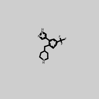 FC(F)(F)c1ccc(CC2CCNCC2)c(-c2cn[nH]c2)c1